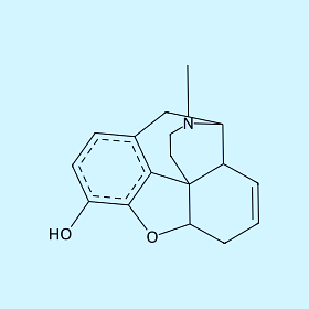 CN1CCC23c4c5ccc(O)c4OC2CC=CC3C1C5